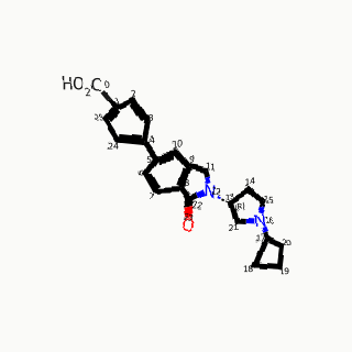 O=C(O)c1ccc(-c2ccc3c(c2)CN([C@@H]2CCN(C4CCC4)C2)C3=O)cc1